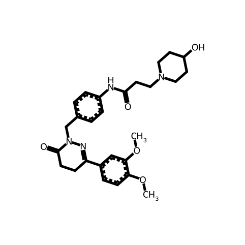 COc1ccc(C2=NN(Cc3ccc(NC(=O)CCN4CCC(O)CC4)cc3)C(=O)CC2)cc1OC